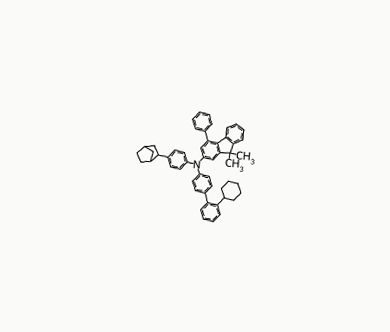 CC1(C)c2ccccc2-c2c(-c3ccccc3)cc(N(c3ccc(-c4ccccc4C4CCCCC4)cc3)c3ccc(C4CC5CCC4C5)cc3)cc21